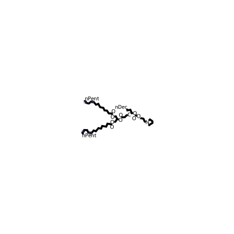 CCCCC/C=C\C/C=C\CCCCCCCC(=O)OCC(COC(=O)CCCCCCC/C=C\C/C=C\CCCCC)OC(=O)CCCC(CCCCCCCCCCCC)OC(=O)OCCCN1CCCC1